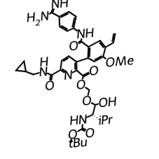 C=Cc1cc(C(=O)Nc2ccc(C(=N)N)cc2)c(-c2ccc(C(=O)NCC3CC3)nc2C(=O)OCOC(O)[C@@H](NC(=O)OC(C)(C)C)C(C)C)cc1OC